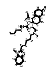 CCCCNC(=O)O[C@]1(CCN(C)CCCCCc2nc3ccccc3n2C)CCc2cc(F)ccc2[C@@H]1C(C)C